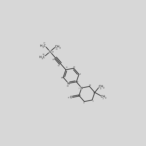 CC1(C)CCC(=O)N(c2ccc(C#C[Si](C)(C)C)cn2)C1